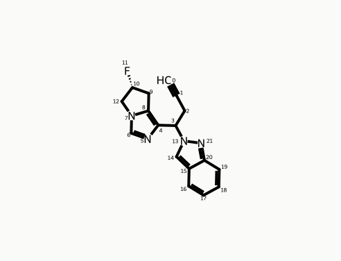 C#CCC(c1ncn2c1C[C@@H](F)C2)n1cc2ccccc2n1